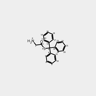 NCC(=O)SC(c1ccccc1)(c1ccccc1)c1ccccc1